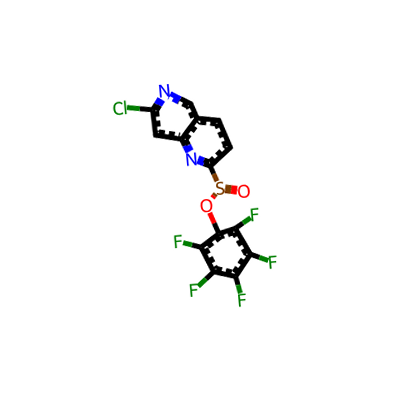 O=S(Oc1c(F)c(F)c(F)c(F)c1F)c1ccc2cnc(Cl)cc2n1